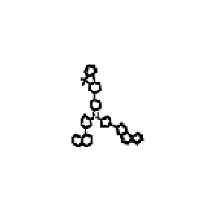 CC1(C)c2ccccc2-c2ccc(-c3ccc(N(c4ccc(-c5ccc6c(ccc7ccccc76)c5)cc4)c4cccc(-c5cccc6ccccc56)c4)cc3)cc21